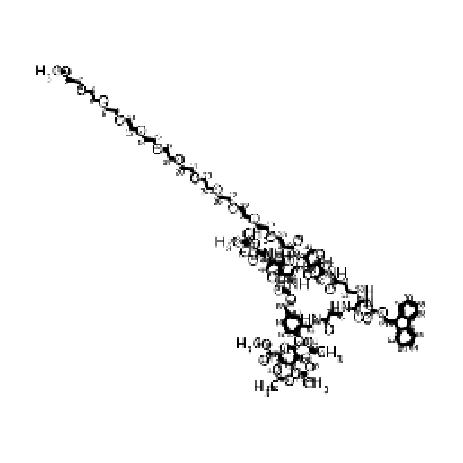 COCCOCCOCCOCCOCCOCCOCCOCCOCCOCCOCCOCCC(=O)N[C@H]1CO[C@H]2[C@@H]1OC[C@@H]2NC(=O)CCC[C@H](NC(=O)OCC1c2ccccc2-c2ccccc21)C(=O)NCCC(=O)NCc1cc(COC(=O)N[C@H]2CO[C@H]3[C@@H]2OC[C@@H]3NC(=O)OC(C)(C)C)ccc1O[C@@H]1O[C@H](C(=O)OC)[C@@H](OC(C)=O)[C@H](OC(C)=O)[C@H]1OC(C)=O